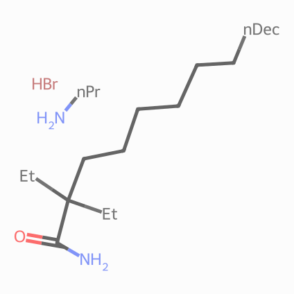 Br.CCCCCCCCCCCCCCCCC(CC)(CC)C(N)=O.CCCN